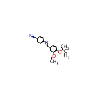 CCOc1cc(/C=N/c2ccc(C#N)cc2)ccc1OC(C)C